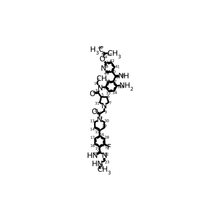 CCN(C(=O)C1CCN(CC(=O)N2CC=C(c3ccc(C(=N)/N=C\NC)c(F)c3)CC2)C1)c1ccc(N)c(C(=N)c2ccc(OC(C)C)nc2)c1